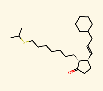 CC(C)SCCCCCCC[C@H]1C(=O)CC[C@@H]1/C=C/CC1CCCCC1